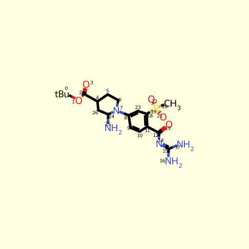 CC(C)(C)OC(=O)C1CCN(c2ccc(C(=O)N=C(N)N)c(S(C)(=O)=O)c2)C(N)C1